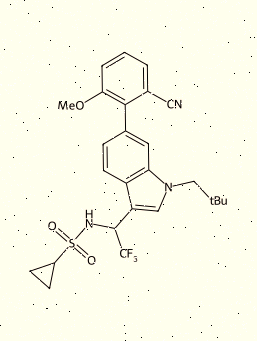 COc1cccc(C#N)c1-c1ccc2c(C(NS(=O)(=O)C3CC3)C(F)(F)F)cn(CC(C)(C)C)c2c1